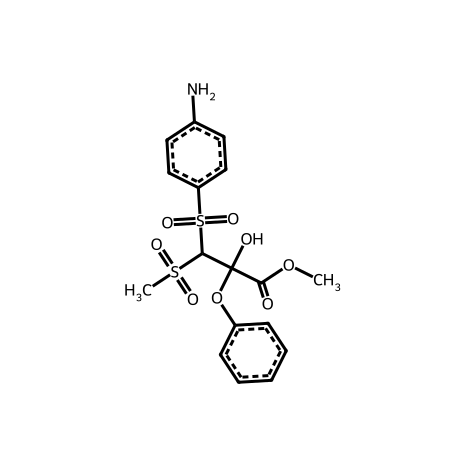 COC(=O)C(O)(Oc1ccccc1)C(S(C)(=O)=O)S(=O)(=O)c1ccc(N)cc1